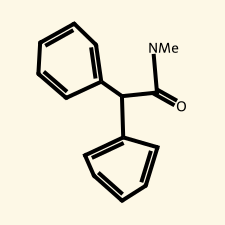 [CH2]NC(=O)C(c1ccccc1)c1ccccc1